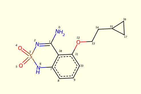 NC1=NS(=O)(=O)Nc2cccc(OCCC3CC3)c21